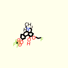 CCN1CCc2cc(OCCCF)c(O)c3c2[C@H]1Cc1ccc(OS(=O)(=O)C(F)(F)F)cc1-3